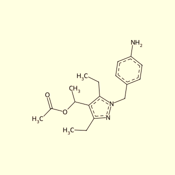 CCc1nn(Cc2ccc(N)cc2)c(CC)c1C(C)OC(C)=O